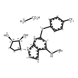 CCCCNc1nc(Sc2ccc(C(F)(F)F)cc2)nc2c1nnn2[C@@H]1CC[C@@H](O)[C@H]1O.NC(=O)O